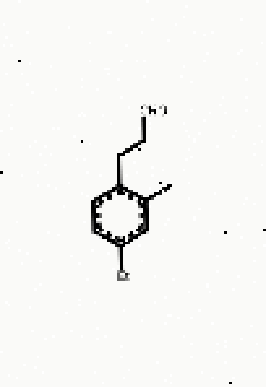 CCc1ccc(CCC=O)c(C)c1